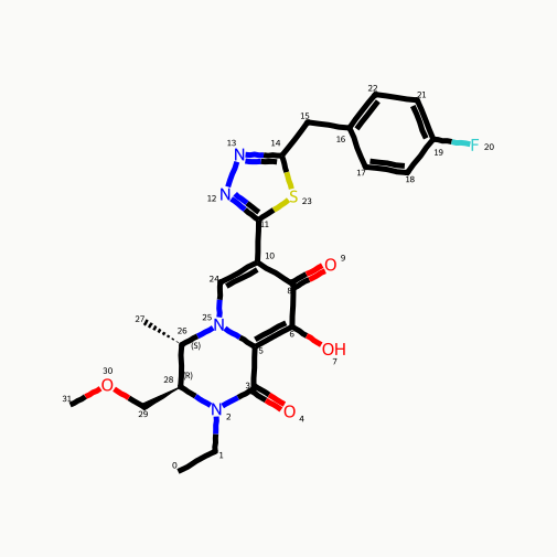 CCN1C(=O)c2c(O)c(=O)c(-c3nnc(Cc4ccc(F)cc4)s3)cn2[C@@H](C)[C@@H]1COC